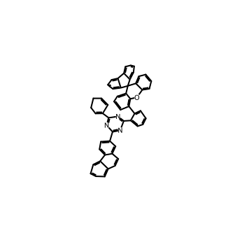 C1=CC(c2nc(-c3ccc4c(ccc5ccccc54)c3)nc(-c3ccccc3-c3cccc4c3Oc3ccccc3C43c4ccccc4-c4ccccc43)n2)=CCC1